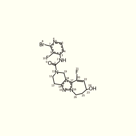 O=C(Nc1ccnc(Br)c1F)N1CCc2nn3c(c2C1)C(F)=CC(O)CC3